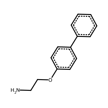 NCCOc1ccc(-c2ccccc2)cc1